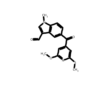 COc1cc(C(=O)c2ccc3c(c2)c(C=O)cn3C)cc(SC)n1